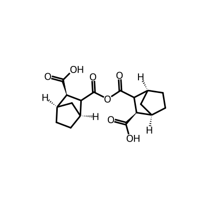 O=C(OC(=O)C1[C@H]2CC[C@H](C2)[C@H]1C(=O)O)C1[C@H]2CC[C@H](C2)[C@H]1C(=O)O